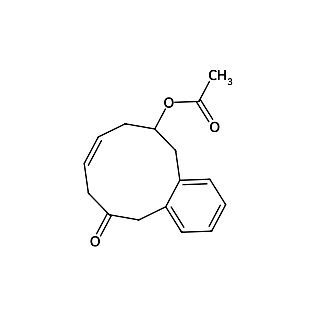 CC(=O)OC1C/C=C\CC(=O)Cc2ccccc2C1